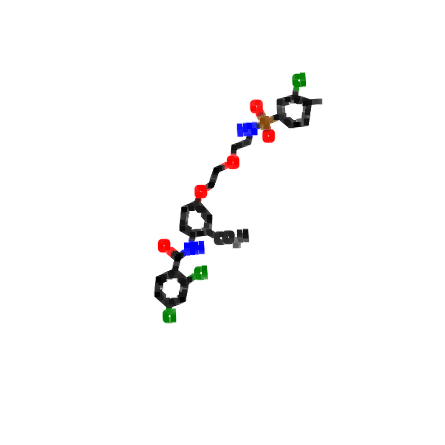 Cc1ccc(S(=O)(=O)NCCOCCOc2ccc(NC(=O)c3ccc(Cl)cc3Cl)c(C(=O)O)c2)cc1Cl